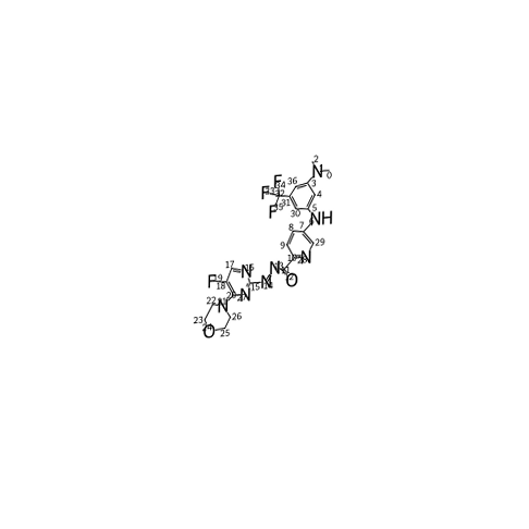 CN(C)c1cc(Nc2ccc(C(=O)/N=N/c3ncc(F)c(N4CCOCC4)n3)nc2)cc(C(F)(F)F)c1